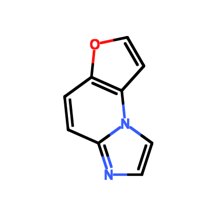 c1cn2c(ccc3occc32)n1